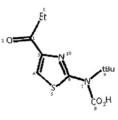 CCC(=O)c1csc(N(C(=O)O)C(C)(C)C)n1